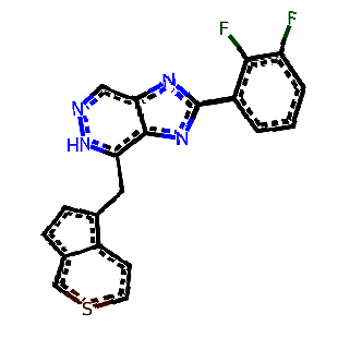 Fc1cccc(-c2nc3cn[nH]c(Cc4ccc5csccc4-5)c-3n2)c1F